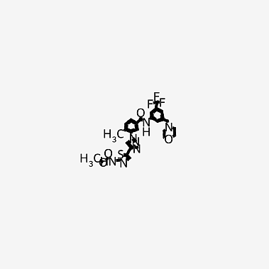 COC(=O)Nc1ncc(-c2cn(-c3cc(C(=O)Nc4cc(CN5CCOCC5)cc(C(F)(F)F)c4)ccc3C)nn2)s1